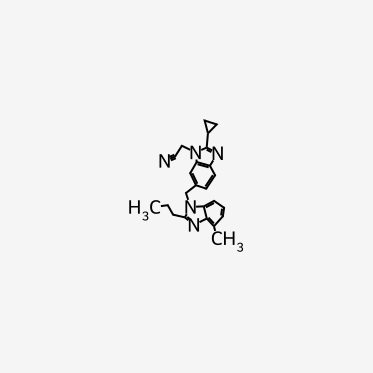 CCCc1nc2c(C)cccc2n1Cc1ccc2nc(C3CC3)n(CC#N)c2c1